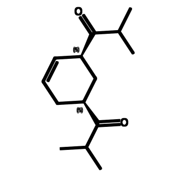 CC(C)C(=O)[C@H]1CC=C[C@@H](C(=O)C(C)C)C1